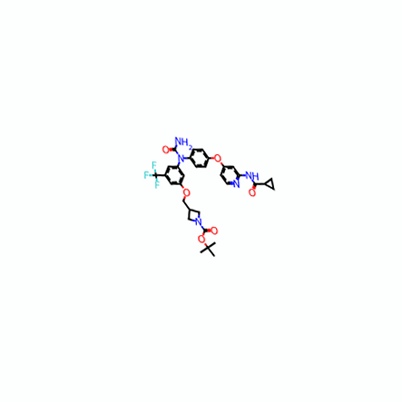 CC(C)(C)OC(=O)N1CC(COc2cc(N(C(N)=O)c3ccc(Oc4ccnc(NC(=O)C5CC5)c4)cc3)cc(C(F)(F)F)c2)C1